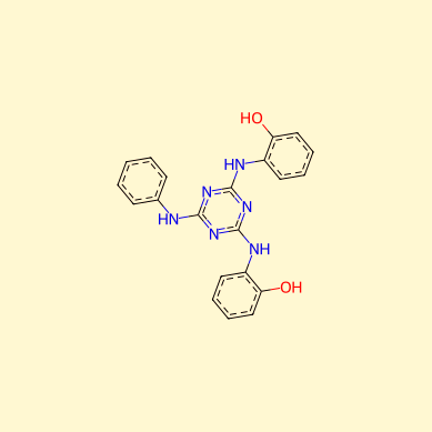 Oc1ccccc1Nc1nc(Nc2ccccc2)nc(Nc2ccccc2O)n1